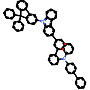 c1ccc(-c2ccc(N(c3ccccc3)c3ccccc3-c3cccc(-c4ccc5c(c4)c4ccccc4n5-c4ccc5c(c4)-c4ccccc4C5(c4ccccc4)c4ccccc4)c3)cc2)cc1